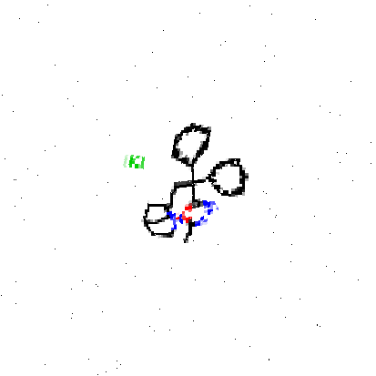 Cc1nnc(C(CC2CC3CCN2CC3)(c2ccccc2)c2ccccc2)o1.Cl